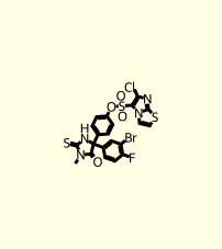 CN1C(=O)C(c2ccc(OS(=O)(=O)c3c(Cl)nc4sccn34)cc2)(c2ccc(F)c(Br)c2)NC1=S